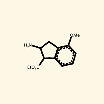 CCOC(=O)C1c2cccc(OC)c2CC1N